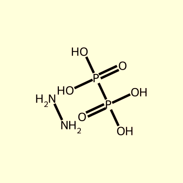 NN.O=P(O)(O)P(=O)(O)O